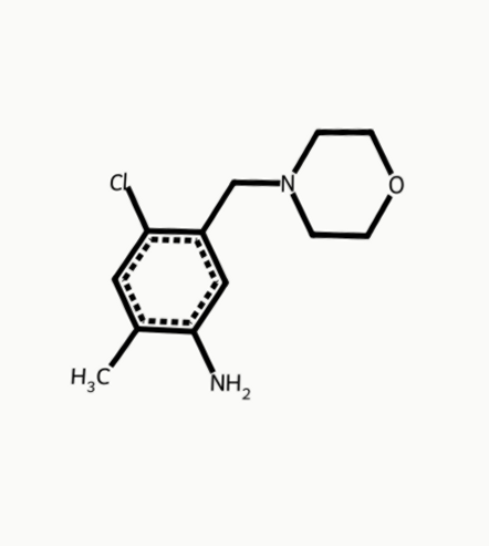 Cc1cc(Cl)c(CN2CCOCC2)cc1N